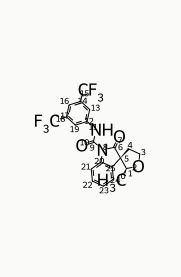 C[C@@H]1OCC[C@@]12C(=O)N(C(=O)Nc1cc(C(F)(F)F)cc(C(F)(F)F)c1)c1ccccc12